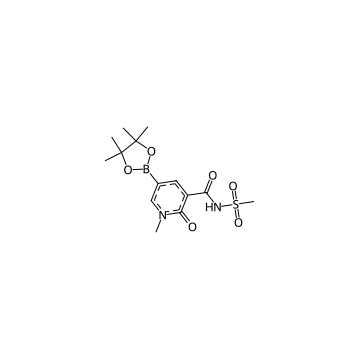 Cn1cc(B2OC(C)(C)C(C)(C)O2)cc(C(=O)NS(C)(=O)=O)c1=O